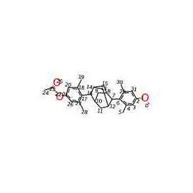 COc1cc(C)c(C2C3CC4CC2CC(C3)C4c2c(C)cc(OC(C)=O)cc2C)c(C)c1